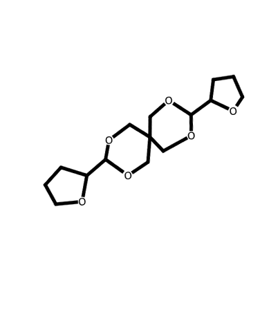 C1COC(C2OCC3(CO2)COC(C2CCCO2)OC3)C1